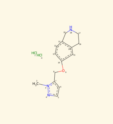 Cl.Cl.Cn1nccc1COc1ccc2c(c1)CCNC2